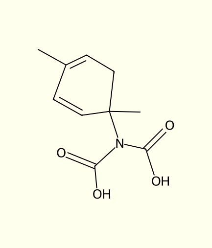 CC1=CCC(C)(N(C(=O)O)C(=O)O)C=C1